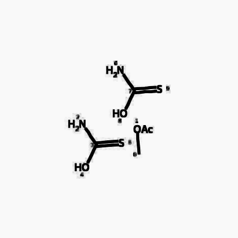 COC(C)=O.NC(O)=S.NC(O)=S